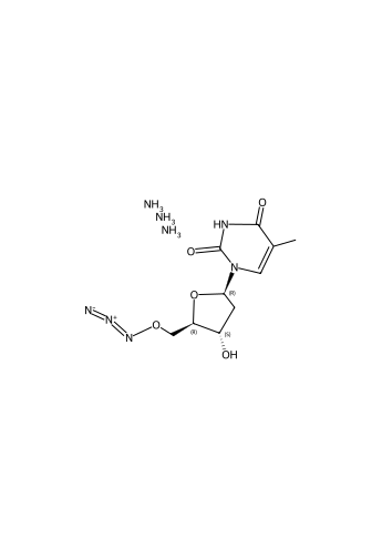 Cc1cn([C@H]2C[C@H](O)[C@@H](CON=[N+]=[N-])O2)c(=O)[nH]c1=O.N.N.N